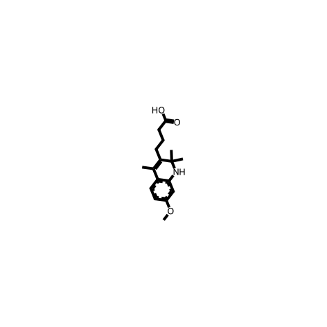 COc1ccc2c(c1)NC(C)(C)C(CCCC(=O)O)=C2C